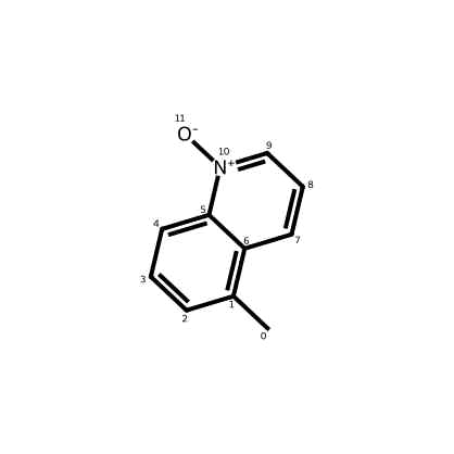 Cc1cccc2c1ccc[n+]2[O-]